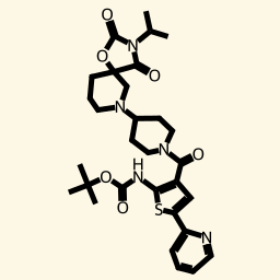 CC(C)N1C(=O)OC2(CCCN(C3CCN(C(=O)c4cc(-c5ccccn5)sc4NC(=O)OC(C)(C)C)CC3)C2)C1=O